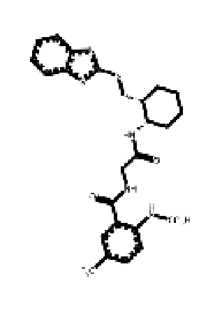 O=C(O)Nc1ccc(C(F)(F)F)cc1C(=O)NCC(=O)N[C@H]1CCCC[C@H]1CSc1nc2ccccc2s1